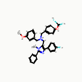 CCCCn1c(-c2ccccc2)nc(-c2ccc(F)cc2)c1CN(Cc1ccc(OC(F)F)cc1)Cc1cccc(OCC)c1